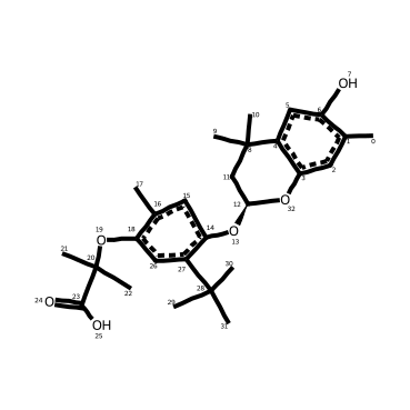 Cc1cc2c(cc1O)C(C)(C)C[C@H](Oc1cc(C)c(OC(C)(C)C(=O)O)cc1C(C)(C)C)O2